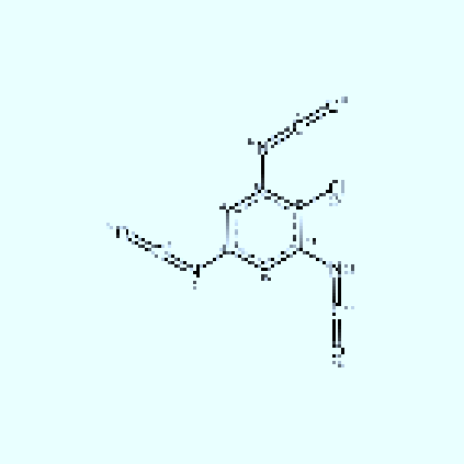 O=C=Nc1cc(N=C=O)c(Cl)c(N=C=O)c1